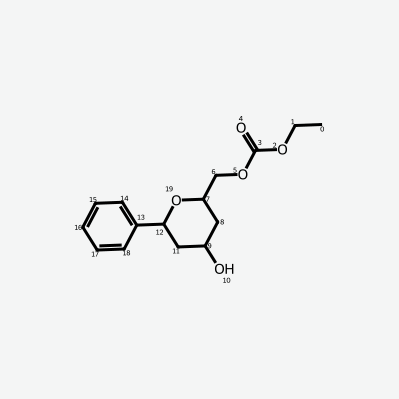 CCOC(=O)OCC1CC(O)CC(c2ccccc2)O1